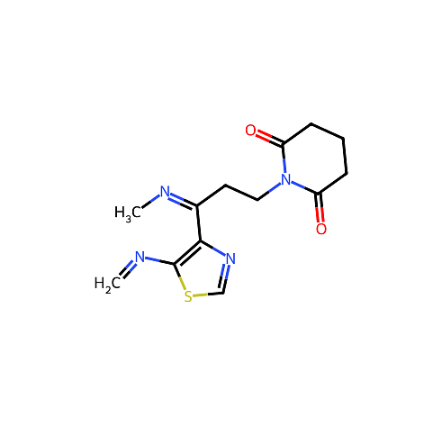 C=Nc1scnc1/C(CCN1C(=O)CCCC1=O)=N\C